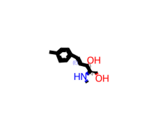 CN[C@H](CO)[C@@H](O)/C=C/c1ccc(C)cc1